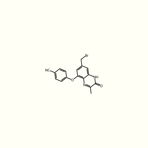 Cc1nc2c(Oc3ccc(C#N)cc3)cc(CBr)cc2[nH]c1=O